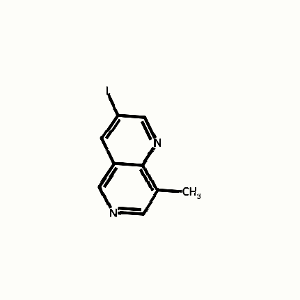 Cc1cncc2cc(I)cnc12